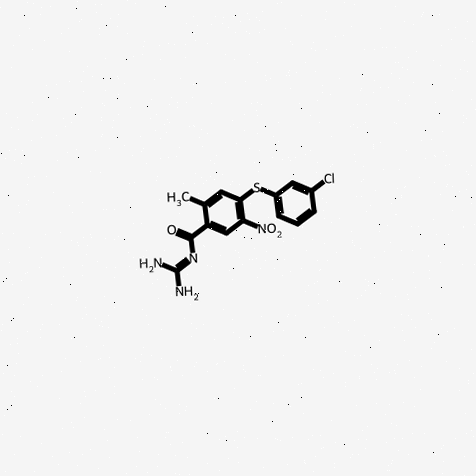 Cc1cc(Sc2cccc(Cl)c2)c([N+](=O)[O-])cc1C(=O)N=C(N)N